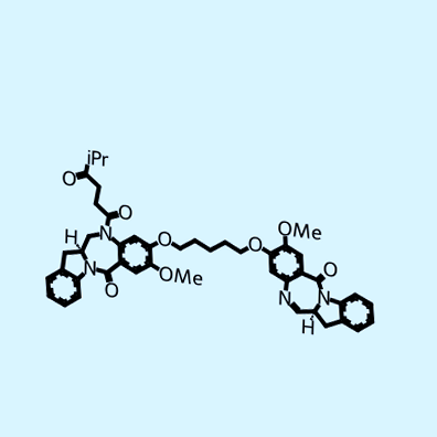 COc1cc2c(cc1OCCCCCOc1cc3c(cc1OC)C(=O)N1c4ccccc4C[C@H]1CN3C(=O)CCC(=O)C(C)C)N=C[C@@H]1Cc3ccccc3N1C2=O